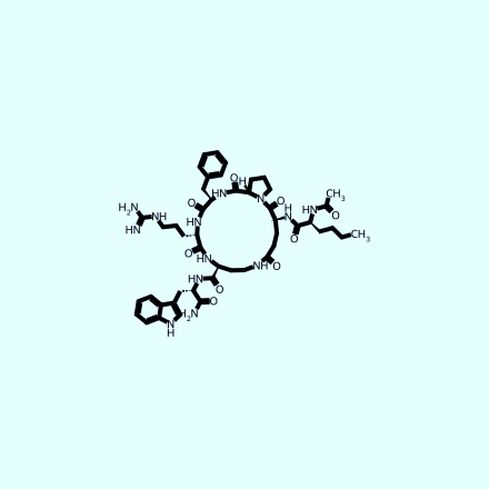 CCCC[C@H](NC(C)=O)C(=O)N[C@H]1CCC(=O)NCC[C@@H](C(=O)N[C@@H](Cc2c[nH]c3ccccc23)C(N)=O)NC(=O)[C@H](CCCNC(=N)N)NC(=O)[C@@H](Cc2ccccc2)NC(=O)[C@@H]2CCCN2C1=O